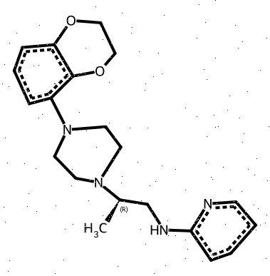 C[C@H](CNc1ccccn1)N1CCN(c2cccc3c2OCCO3)CC1